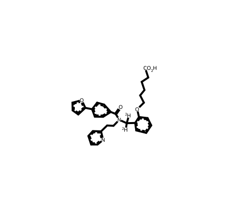 [2H]C([2H])(c1ccccc1OCCCCCC(=O)O)N(CCc1ccccn1)C(=O)c1ccc(-c2ccco2)cc1